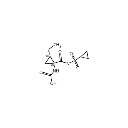 CC[C@H]1C[C@]1(NC(=O)O)C(=O)NS(=O)(=O)C1CC1